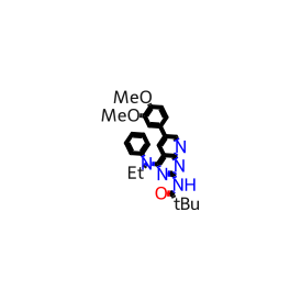 CCN(c1ccccc1)c1nc(NC(=O)C(C)(C)C)nc2ncc(-c3ccc(OC)c(OC)c3)cc12